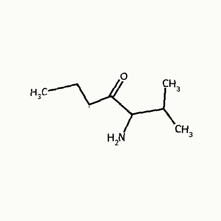 CC[CH]C(=O)C(N)C(C)C